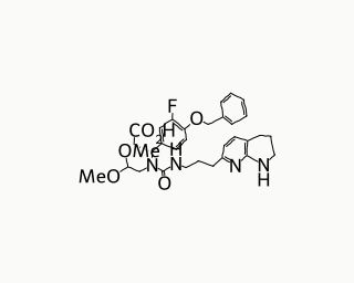 COC(CN(C(=O)NCCCc1ccc2c(n1)NCCC2)[C@H](CC(=O)O)c1ccc(OCc2ccccc2)c(F)c1)OC